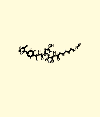 Cc1ncsc1-c1ccc([C@H](C)NC(=O)[C@@H]2C[C@@H](O)CN2C(=O)C(NC(=O)CCCCCN=[N+]=[N-])C(C)(C)C)cc1